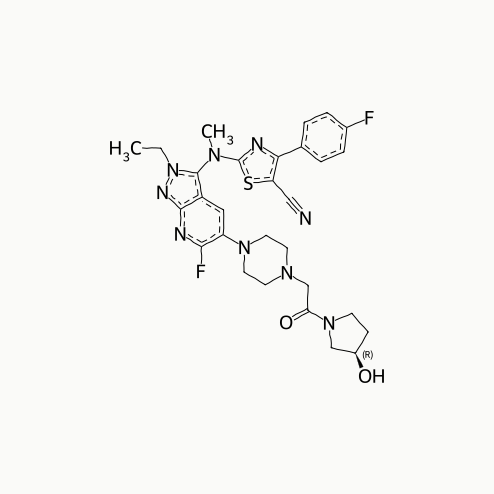 CCn1nc2nc(F)c(N3CCN(CC(=O)N4CC[C@@H](O)C4)CC3)cc2c1N(C)c1nc(-c2ccc(F)cc2)c(C#N)s1